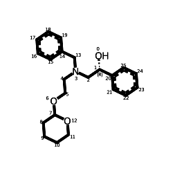 O[C@@H](CN(CCOC1CCCCO1)Cc1ccccc1)c1ccccc1